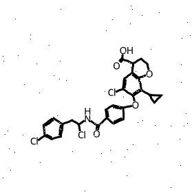 O=C(NC(Cl)Cc1ccc(Cl)cc1)c1ccc(Oc2c(Cl)cc3c(c2C2CC2)OCCC3C(=O)O)cc1